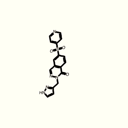 O=c1c2ccc(S(=O)(=O)c3ccncc3)cc2cnn1Cc1cc[nH]n1